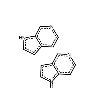 c1cc2[nH]ccc2cn1.c1cc2cc[nH]c2cn1